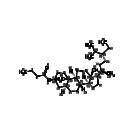 CCCC(=O)O[C@H]1CC[C@@]2(C)[C@@H](CC[C@@H]3[C@@H]2CC[C@]2(C)[C@@H]([C@H](C)CC[C@@H](CC)C(C)C)CC[C@@H]32)C1